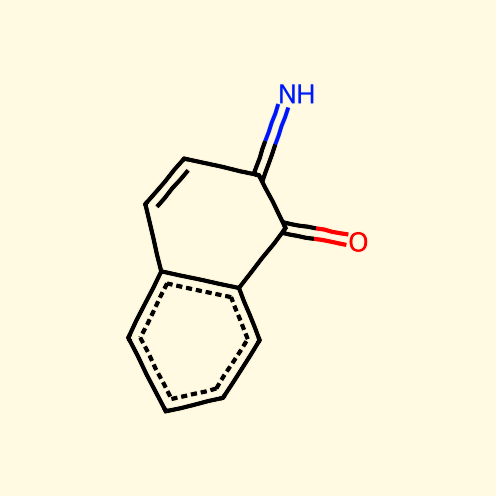 N=C1C=Cc2ccccc2C1=O